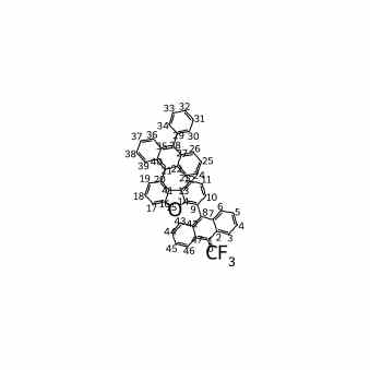 FC(F)(F)c1c2ccccc2c(-c2cccc3c2oc2cccc(-c4c5ccccc5c(-c5ccccc5)c5ccccc45)c23)c2ccccc12